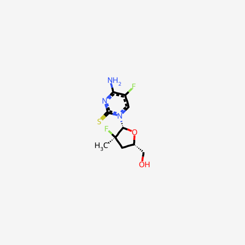 C[C@@]1(F)C[C@@H](CO)O[C@H]1n1cc(F)c(N)nc1=S